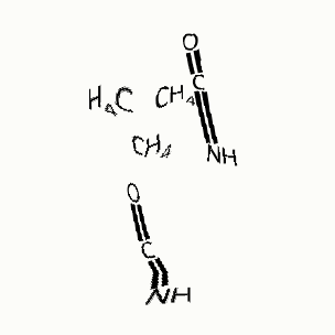 C.C.C.N=C=O.N=C=O